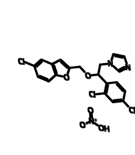 Clc1ccc(C(Cn2ccnc2)OCc2cc3cc(Cl)ccc3o2)c(Cl)c1.O=[N+]([O-])O